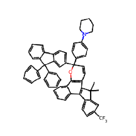 CC1(C)c2cc(C(F)(F)F)ccc2-c2c1c1c(c3ccccc23)OC(c2ccc(N3CCCCC3)cc2)(c2ccc3c(c2)C(c2ccccc2)(c2ccccc2)c2ccccc2-3)C=C1